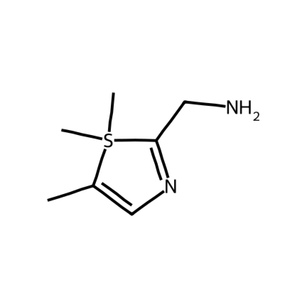 CC1=CN=C(CN)S1(C)C